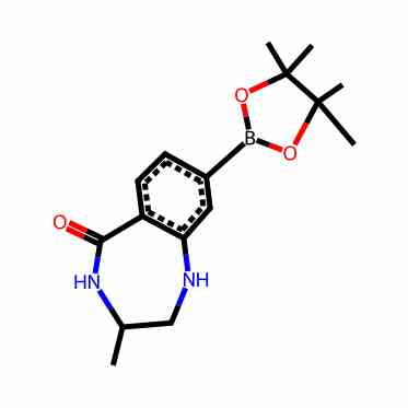 CC1CNc2cc(B3OC(C)(C)C(C)(C)O3)ccc2C(=O)N1